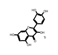 O=c1c(O)c(-c2ccc(O)c(O)c2)oc2cc(O)cc(O)c12.[Ti]